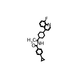 C[C@@H](NC(=O)c1ccc(C2CC2)cc1)C1CCC(c2ccnc3c(F)cccc23)CC1